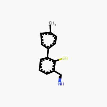 Cc1ccc(-c2cccc(C=N)c2S)cc1